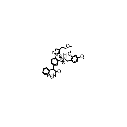 COCCc1cnn(-c2ccc(C(C(N)=O)c3ccccc3Cl)cc2S(=O)(=O)NCc2ccc(OC)cc2OC)c1